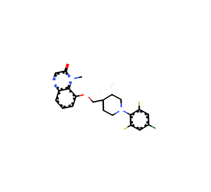 Cn1c(=O)cnc2cccc(OC[C@]3(O)CCN(c4c(F)cc(Cl)cc4F)C[C@H]3O)c21